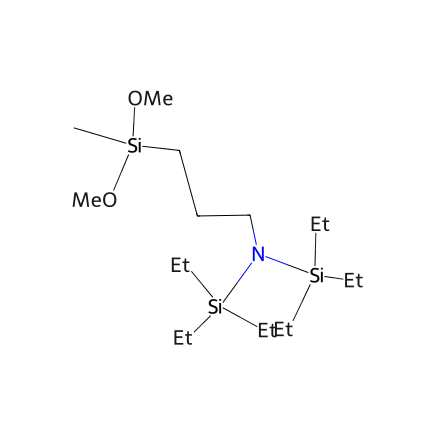 CC[Si](CC)(CC)N(CCC[Si](C)(OC)OC)[Si](CC)(CC)CC